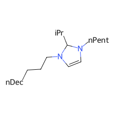 CCCCCCCCCCCCCN1C=CN(CCCCC)C1C(C)C